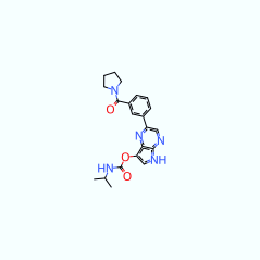 CC(C)NC(=O)Oc1c[nH]c2ncc(-c3cccc(C(=O)N4CCCC4)c3)nc12